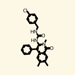 Cc1cc2c(-c3ccccc3)c(NC(=O)NCc3ccc(Cl)cc3)n(C)c(=O)c2cc1C